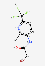 Cc1nc(C(F)(F)F)ccc1NC(=O)CBr